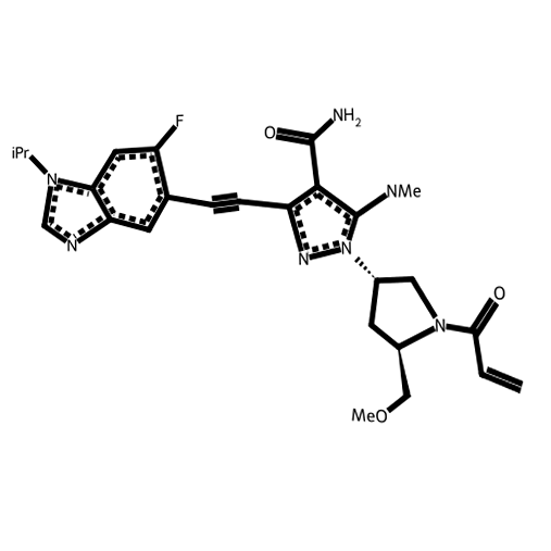 C=CC(=O)N1C[C@@H](n2nc(C#Cc3cc4ncn(C(C)C)c4cc3F)c(C(N)=O)c2NC)C[C@@H]1COC